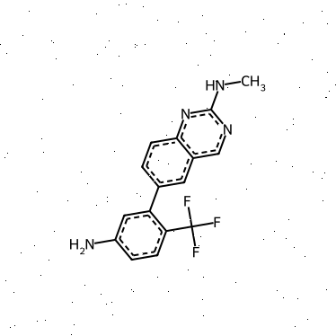 CNc1ncc2cc(-c3cc(N)ccc3C(F)(F)F)ccc2n1